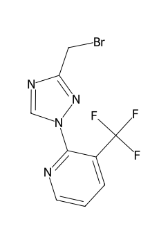 FC(F)(F)c1cccnc1-n1cnc(CBr)n1